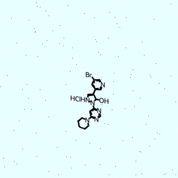 Cl.OC1C(c2cncc(Br)c2)=CNN1c1cc(N2CCCCC2)ncn1